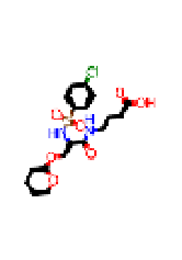 O=C(O)CCCNC(=O)C(COC1CCCCO1)NS(=O)(=O)c1ccc(Cl)cc1